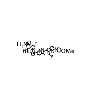 COC1CCN(c2ccc3cc(-c4nn5cc(C(=O)N6C[C@H](F)C[C@@H](OC(N)=O)C6C(C)(C)C)ccc5c4C)n(CC4CC4)c3n2)CC1